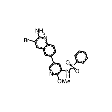 COc1ncc(-c2ccc3nc(N)c(Br)cc3c2)cc1NS(=O)(=O)c1ccccc1